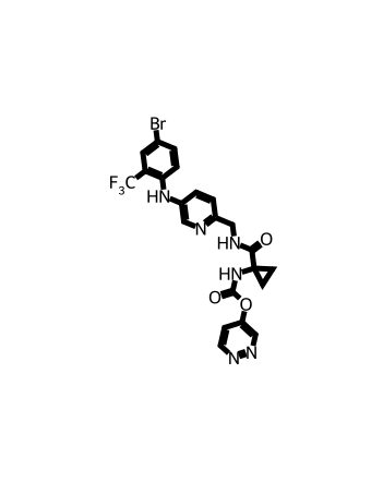 O=C(NC1(C(=O)NCc2ccc(Nc3ccc(Br)cc3C(F)(F)F)cn2)CC1)Oc1ccnnc1